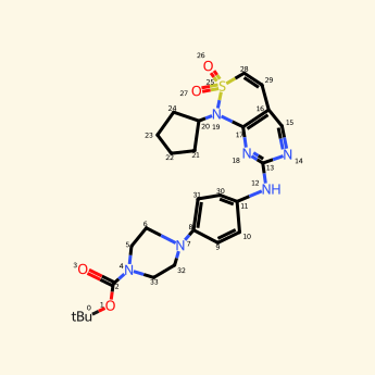 CC(C)(C)OC(=O)N1CCN(c2ccc(Nc3ncc4c(n3)N(C3CCCC3)S(=O)(=O)C=C4)cc2)CC1